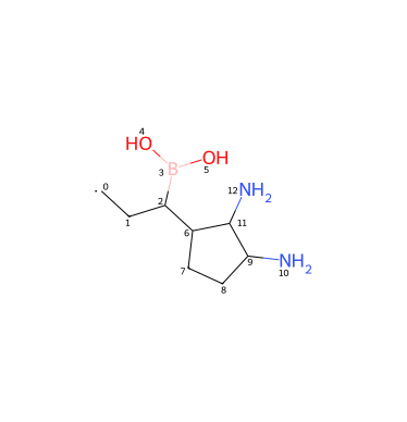 [CH2]CC(B(O)O)C1CCC(N)C1N